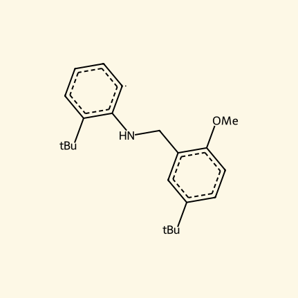 COc1ccc(C(C)(C)C)cc1CNc1[c]cccc1C(C)(C)C